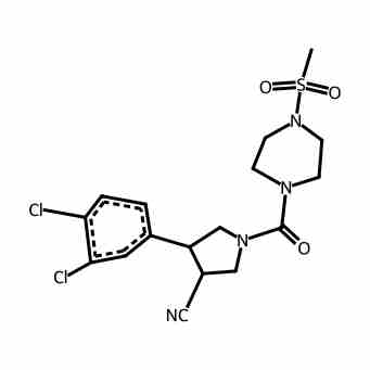 CS(=O)(=O)N1CCN(C(=O)N2CC(C#N)C(c3ccc(Cl)c(Cl)c3)C2)CC1